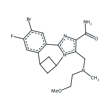 COCCN(C)Cc1c(C(N)=O)nc2n1C1CC(C1)c1cc(F)c(Br)cc1-2